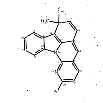 CC1(C)C=Cc2cc3ccc(Br)nc3n3c2c1c1ccccc13